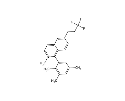 Cc1cc(C)c(C)c(-c2c3ccc(CCC(F)(F)F)cc3cc[n+]2C)c1